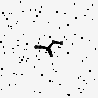 O=CC(=O)OCl